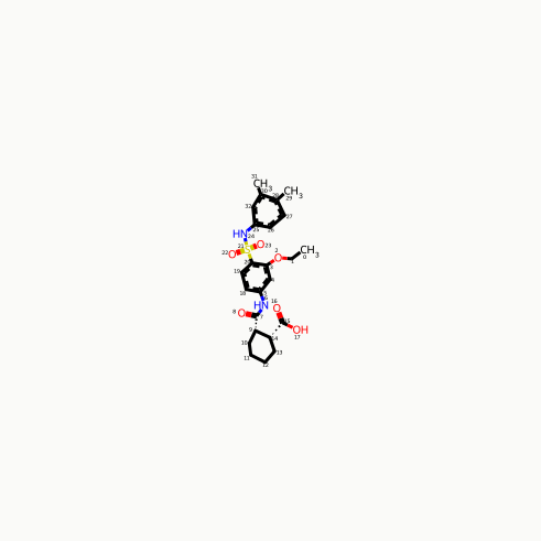 CCOc1cc(NC(=O)[C@H]2CCCC[C@H]2C(=O)O)ccc1S(=O)(=O)Nc1ccc(C)c(C)c1